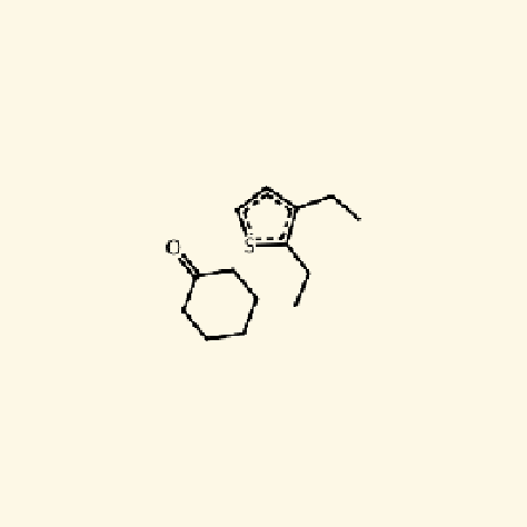 CCc1ccsc1CC.O=C1CCCCC1